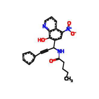 CCCCC(=O)NC(C#Cc1ccccc1)c1cc([N+](=O)[O-])c2cccnc2c1O